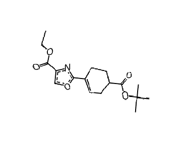 CCOC(=O)c1coc(C2=CCC(C(=O)OC(C)(C)C)CC2)n1